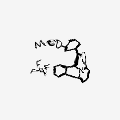 COc1cccc(-c2oc3cccc4[n+]3c2-c2ccccc2-4)c1.F[B-](F)(F)F